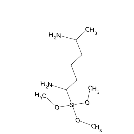 CO[Si](OC)(OC)C(N)CCCC(C)N